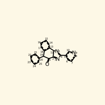 O=C1C2=NC(c3cccnc3)=NC2c2ccccc2C1c1ccccc1